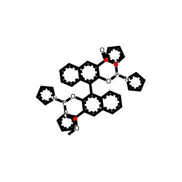 COC(=O)c1cc2ccccc2c(-c2c(OP(n3cccc3)n3cccc3)c(C(=O)OC)cc3ccccc23)c1OP(n1cccc1)n1cccc1